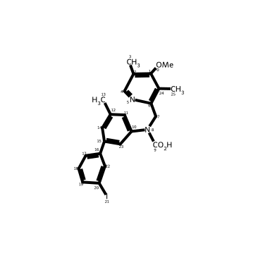 COc1c(C)cnc(CN(C(=O)O)c2cc(C)cc(-c3cccc(I)c3)c2)c1C